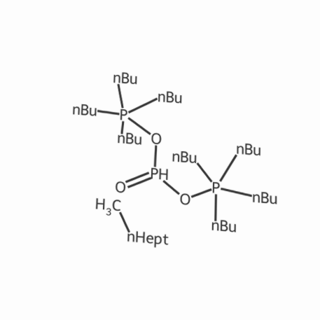 CCCCCCCC.CCCCP(CCCC)(CCCC)(CCCC)O[PH](=O)OP(CCCC)(CCCC)(CCCC)CCCC